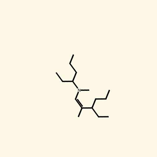 CCCC(CC)/C(C)=C\N(C)C(CC)CCC